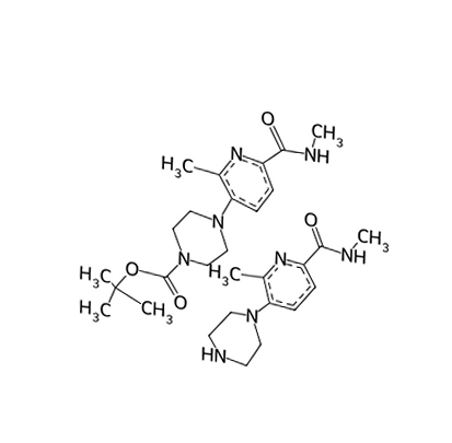 CNC(=O)c1ccc(N2CCN(C(=O)OC(C)(C)C)CC2)c(C)n1.CNC(=O)c1ccc(N2CCNCC2)c(C)n1